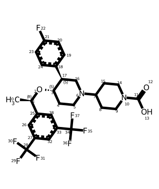 C[C@@H](O[C@H]1CCN(C2CCN(C(=O)O)CC2)C[C@@H]1c1ccc(F)cc1)c1cc(C(F)(F)F)cc(C(F)(F)F)c1